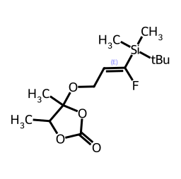 CC1OC(=O)OC1(C)OC/C=C(\F)[Si](C)(C)C(C)(C)C